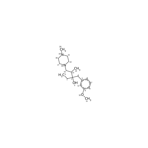 CCC(O)(Cc1cccc(OC)c1)C(C)CN1CCN(C)CC1